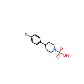 O=S(=O)(O)N1CCC(c2ccc(F)cc2)CC1